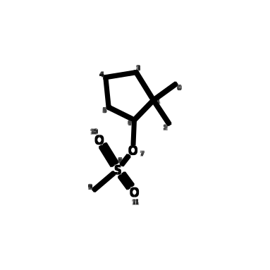 CC1(C)CCCC1OS(C)(=O)=O